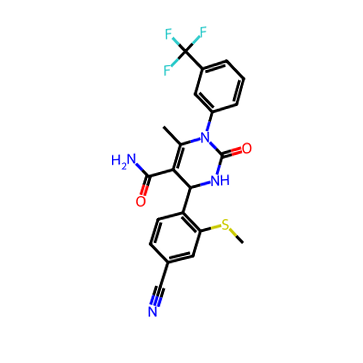 CSc1cc(C#N)ccc1C1NC(=O)N(c2cccc(C(F)(F)F)c2)C(C)=C1C(N)=O